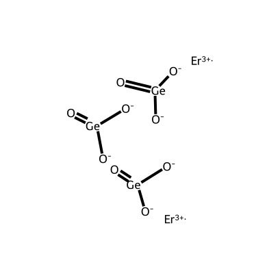 [Er+3].[Er+3].[O]=[Ge]([O-])[O-].[O]=[Ge]([O-])[O-].[O]=[Ge]([O-])[O-]